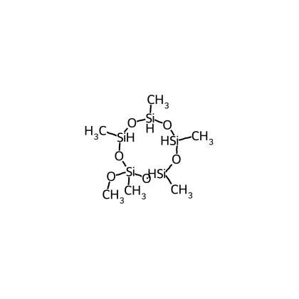 CO[Si]1(C)O[SiH](C)O[SiH](C)O[SiH](C)O[SiH](C)O1